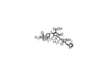 C[C@@H](NC(=O)[C@@H](N)Cn1cccn1)[C@H]1C(=O)N2C(C(=O)O)=C(S[C@@H]3CN[C@H](C(=O)N(C)C)C3)[C@H](C)[C@H]12